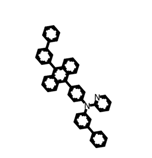 c1ccc(-c2cccc(-c3c4ccccc4c(-c4ccc(N(c5cccc(-c6ccccc6)c5)c5ccccn5)cc4)c4ccccc34)c2)cc1